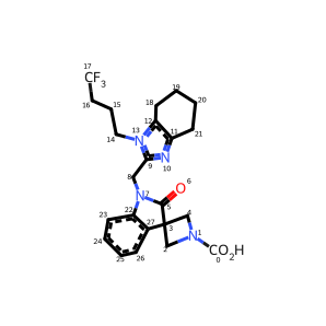 O=C(O)N1CC2(C1)C(=O)N(Cc1nc3c(n1CCCC(F)(F)F)CCCC3)c1ccccc12